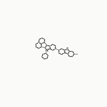 Cc1ccc2c(c1)sc1cc(-c3ccc4c5c(n(-c6ccccc6)c4c3)-c3cccc4cccc-5c34)ccc12